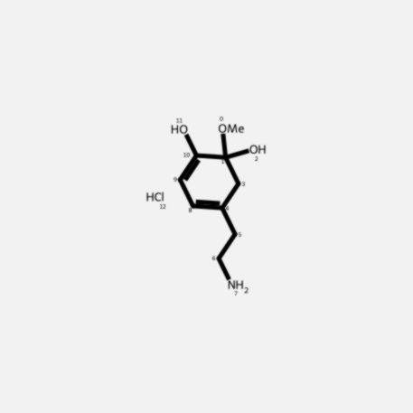 COC1(O)CC(CCN)=CC=C1O.Cl